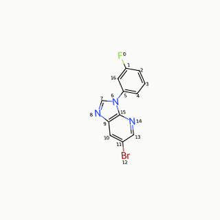 Fc1cccc(-n2cnc3cc(Br)cnc32)c1